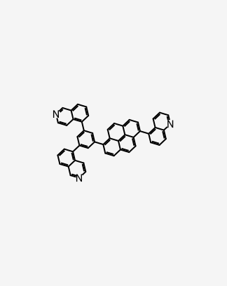 c1cc(-c2cc(-c3cccc4cnccc34)cc(-c3ccc4ccc5c(-c6cccc7ncccc67)ccc6ccc3c4c65)c2)c2ccncc2c1